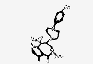 CCCN1CC(N2CCN(c3ccc(O)cc3)CC2)C(OC)c2c(c(C)cn2C)C1=O